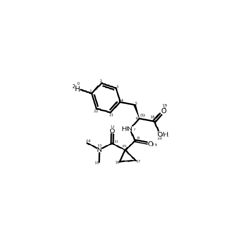 [2H]c1ccc(C[C@H](NC(=O)C2(C(=O)N(C)C)CC2)C(=O)O)cc1